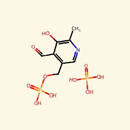 Cc1ncc(COP(=O)(O)O)c(C=O)c1O.O=P(O)(O)O